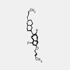 CC=CCOc1cc(F)c2cc(C3CCC4CC(CCCC)CCC4C3)c(F)cc2c1